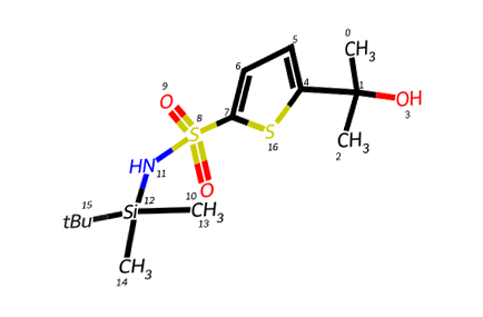 CC(C)(O)c1ccc(S(=O)(=O)N[Si](C)(C)C(C)(C)C)s1